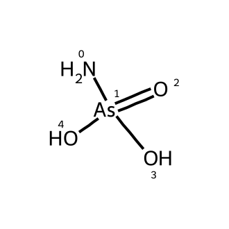 N[As](=O)(O)O